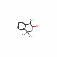 CC1c2ccccc2C(C)(C)CC1O